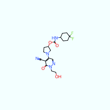 N#Cc1c(N2CC[C@@H](OC(=O)NC3CCC(F)(F)CC3)C2)cnn(CCO)c1=O